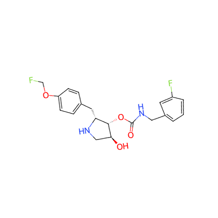 O=C(NCc1cccc(F)c1)O[C@@H]1[C@@H](O)CN[C@@H]1Cc1ccc(OCF)cc1